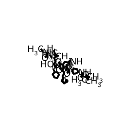 CCNC(=O)NC[C@@H](C[C@H](O)[C@H](CC1CCCCC1)NC(=O)C(Cc1c[nH]cn1)N(OC(=O)N1CCC(NC(=O)OC(C)(C)C)CC1)C(=O)CCc1cccs1)C(C)C